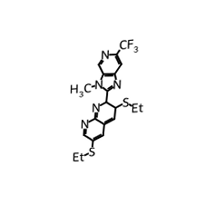 CCSc1cnc2c(c1)=CC(SCC)C(c1nc3cc(C(F)(F)F)ncc3n1C)N=2